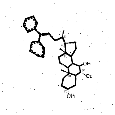 CC[C@H]1C(O)C2C(CC[C@@]3(C)C2CC[C@@H]3[C@H](C)CC=C(c2ccccc2)c2ccccc2)[C@@]2(C)CC[C@@H](O)CC12